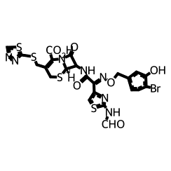 O=CNc1nc(C(=NOCc2ccc(Br)c(O)c2)C(=O)NC2C(=O)N3C(C(=O)O)=C(CSc4nncs4)CS[C@@H]23)cs1